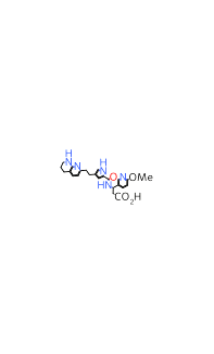 COc1ccc(C(CC(=O)O)NC(=O)c2cc(CCc3ccc4c(n3)NCCC4)c[nH]2)cn1